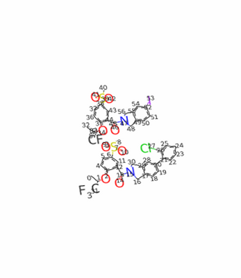 CC(Oc1ccc(S(C)(=O)=O)cc1C(=O)N1Cc2ccc(-c3ccccc3Cl)cc2C1)C(F)(F)F.C[C@H](Oc1ccc(S(C)(=O)=O)cc1C(=O)N1Cc2ccc(I)cc2C1)C(F)(F)F